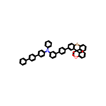 c1ccc(-c2ccc(-c3ccc(N(c4ccccc4)c4cccc(-c5ccc(-c6ccc7c(c6)C6(c8ccccc8Oc8ccccc86)c6ccccc6S7)cc5)c4)cc3)cc2)cc1